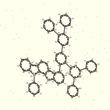 c1ccc(-c2nc(-c3ccccc3)nc(-c3cc(-c4ccc(-c5ccccc5)c(-c5ccccc5)c4)ccc3-c3cccc4sc5c(ccc6c7ccccc7n(-c7ccccc7)c65)c34)n2)cc1